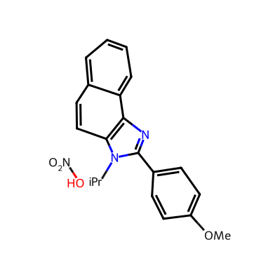 COc1ccc(-c2nc3c4ccccc4ccc3n2C(C)C)cc1.O=[N+]([O-])O